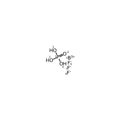 O=P(O)(O)O.[B+3].[F-].[F-].[F-]